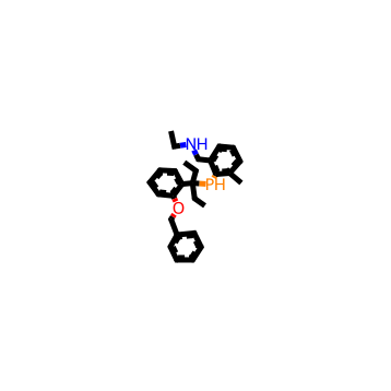 CCNCc1cccc(C)c1PC(CC)(CC)c1ccccc1OCc1ccccc1